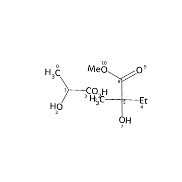 CC(O)C(=O)O.CCC(C)(O)C(=O)OC